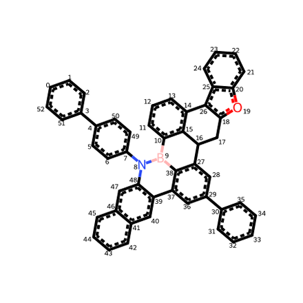 c1ccc(-c2ccc(N3B4c5cccc6c5C(Cc5oc7ccccc7c5-6)c5cc(-c6ccccc6)cc(c54)-c4cc5ccccc5cc43)cc2)cc1